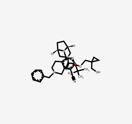 CC(C)(C)OC(=O)N1C[C@H]2CC[C@@H](C1)N2c1nc(OCC2(CO)CC2)c(C#N)c2c1CCN(Cc1ccccc1)C2